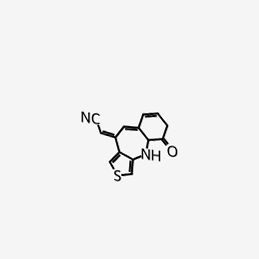 N#CC=C1C=C2C=CCC(=O)C2Nc2cscc21